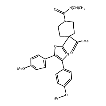 COC(=O)C1(c2nc(-c3ccc(OC(C)C)cc3)c(-c3ccc(OC)cc3)o2)CCN(C(=O)N(C)O)CC1